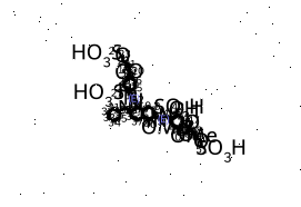 COc1cc(/N=N/c2c(S(=O)(=O)O)cc3c(/N=N/c4ccc(S(=O)(=O)CCOS(=O)(=O)O)cc4S(=O)(=O)O)c(Nc4ccccc4)ccc3c2OC)c(O)cc1S(=O)(=O)CCOS(=O)(=O)O